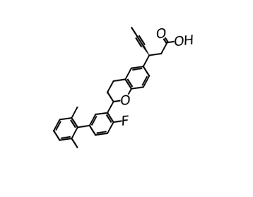 CC#C[C@@H](CC(=O)O)c1ccc2c(c1)CCC(c1cc(-c3c(C)cccc3C)ccc1F)O2